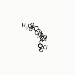 CS(=O)(=O)N1CCC(CN(C[C@@H]2CN(Cc3ccc(Cl)c(Cl)c3)CCO2)C(N)=O)CC1